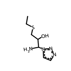 CCSCC(O)C(N)n1ccnn1